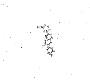 CC(=O)N(Cc1ccc(N2CCCC(O)C2)nc1)c1ccc(F)cc1